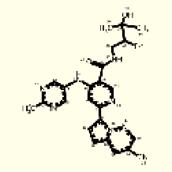 Cc1ncc(Nc2cc(-c3ccc4cc(C#N)cnn34)ncc2C(=O)NCC(F)C(C)(C)O)cn1